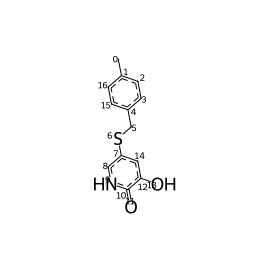 Cc1ccc(CSc2c[nH]c(=O)c(O)c2)cc1